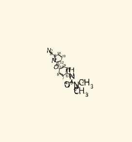 CN(C)C(=O)Nc1ccc(Oc2cccc(C#N)n2)cc1